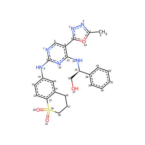 Cc1nnc(-c2cnc(Nc3ccc4c(c3)CCCS4(=O)=O)nc2N[C@H](CO)c2ccccc2)o1